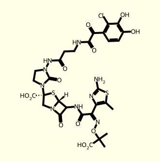 Cc1sc(N)nc1/C(=N/OC(C)(C)C(=O)O)C(=O)NC1C(=O)N2C[C@@](C(=O)O)(N3CCN(NC(=O)CCNC(=O)C(=O)c4ccc(O)c(O)c4Cl)C3=O)S[C@H]12